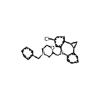 Clc1ccc2c(c1)N(CC1CN(Cc3ccccc3)CCO1)c1ccccc1C1CC21